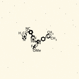 COCC(F)(F)COc1nn([C@H]2CC[C@H](N3C[C@@H](C)O[C@@H](C)C3)CC2)cc1Nc1ncc(-c2ccc(C#N)c(O[C@@H](C)Cn3cncn3)c2)cn1